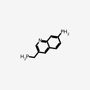 PCc1cnc2cc(P)ccc2c1